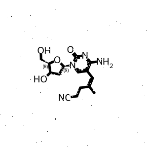 CC(=Cc1cn([C@H]2CC(O)[C@@H](CO)O2)c(=O)nc1N)CCC#N